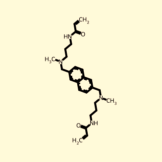 C=CC(=O)NCCCN(C)Cc1ccc2cc(CN(C)CCCNC(=O)C=C)ccc2c1